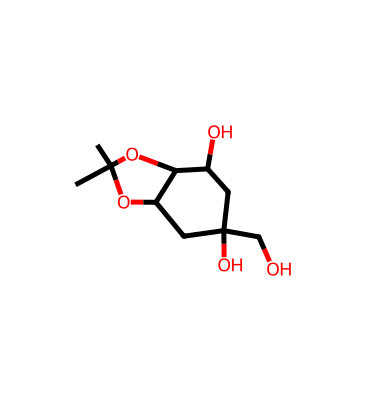 CC1(C)OC2CC(O)(CO)CC(O)C2O1